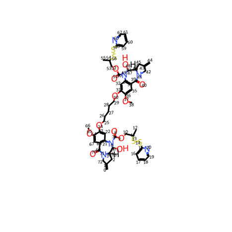 C=C1C[C@H]2[C@H](O)N(C(=O)OCC(C)SSc3ccccn3)c3cc(OCCCCCOc4cc5c(cc4OC)C(=O)N4CC(=C)C[C@H]4[C@H](O)N5C(=O)OCC(C)SSc4ccccn4)c(OC)cc3C(=O)N2C1